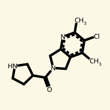 Cc1nc2c(c(C)c1Cl)CN(C(=O)C1CCNC1)C2